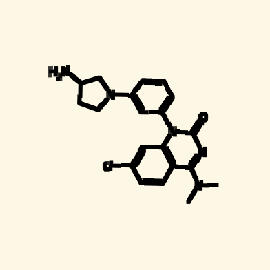 CN(C)c1nc(=O)n(-c2cccc(N3CCC(N)C3)c2)c2cc(Cl)ccc12